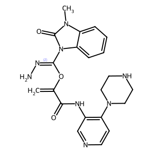 C=C(O/C(=N\N)n1c(=O)n(C)c2ccccc21)C(=O)Nc1cnccc1N1CCNCC1